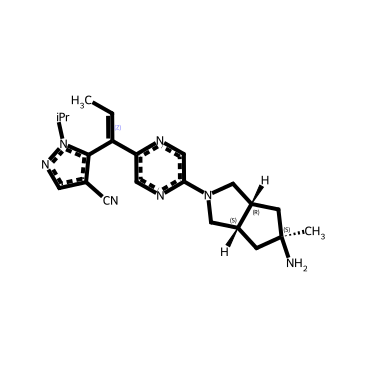 C/C=C(/c1cnc(N2C[C@@H]3C[C@@](C)(N)C[C@@H]3C2)cn1)c1c(C#N)cnn1C(C)C